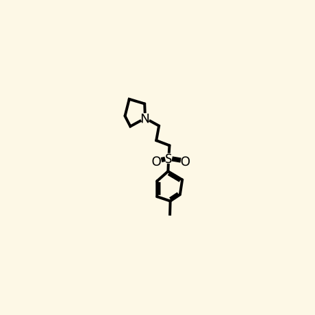 Cc1ccc(S(=O)(=O)CCCN2CCCC2)cc1